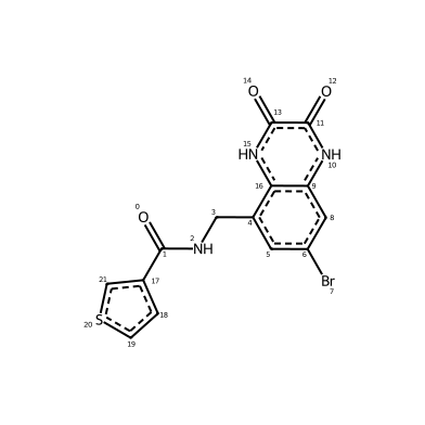 O=C(NCc1cc(Br)cc2[nH]c(=O)c(=O)[nH]c12)c1ccsc1